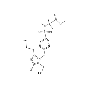 CCCCc1nc(Cl)c(CO)n1Cc1ccc(S(=O)(=O)N(C)C(C)(C)C(=O)OC)cc1